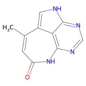 CC1=CC(=O)Nc2ncnc3[nH]cc1c23